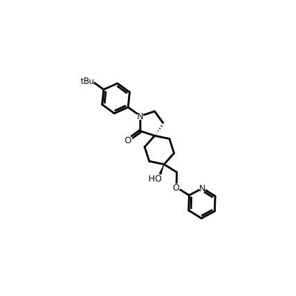 CC(C)(C)c1ccc(N2CC[C@]3(CC[C@@](O)(COc4ccccn4)CC3)C2=O)cc1